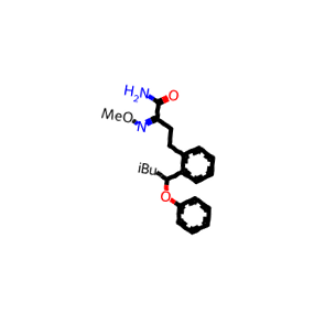 CCC(C)C(Oc1ccccc1)c1ccccc1CCC(=NOC)C(N)=O